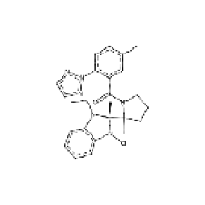 CCN1c2ccccc2N(Cl)[C@@]1(C)C1(C)CCCN1C(=O)c1cc(C)ccc1-n1nccn1